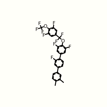 Cc1ccc(-c2ccc(-c3cc(F)c(OC(F)(F)c4cc(F)c(OC(F)(F)F)c(F)c4)c(F)c3)c(F)c2)cc1C